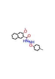 COc1cc2ccccc2cc1C(=O)NNOc1ccc(C)cc1